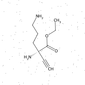 C#C[C@@](N)(CCCN)C(=O)OCC